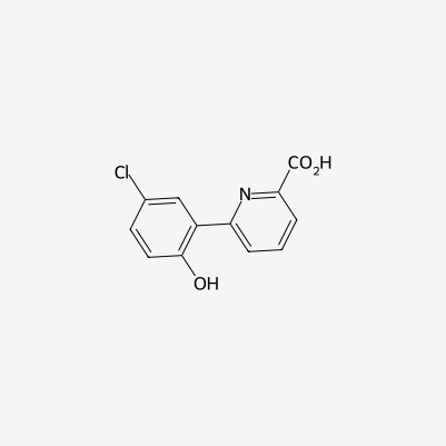 O=C(O)c1cccc(-c2cc(Cl)ccc2O)n1